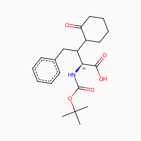 CC(C)(C)OC(=O)N[C@H](C(=O)O)C(Cc1ccccc1)C1CCCCC1=O